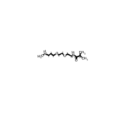 CNCCCOCCOCCNC(=O)C(C)C